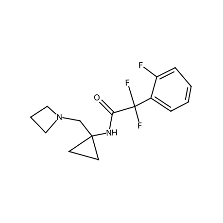 O=C(NC1(CN2CCC2)CC1)C(F)(F)c1ccccc1F